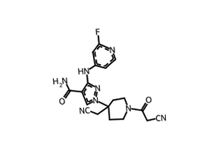 N#CCC(=O)N1CCC(CC#N)(n2cc(C(N)=O)c(Nc3ccnc(F)c3)n2)CC1